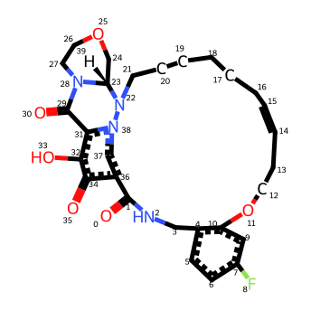 O=C1NCc2ccc(F)cc2OCC/C=C\CCCCCCN2[C@H]3COCCN3C(=O)c3c(O)c(=O)c1cn32